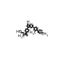 Cc1cc(-c2cnc3[nH]cc(-c4ccc(C(=O)N(C)CCO)cc4)c3c2)ccc1N1CCN(C)CC1